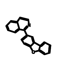 c1ccc2c(-c3ccc4oc5ccccc5c4c3)nccc2c1